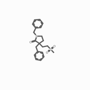 CS(=O)(=O)CCC1(Cc2ccccc2)CCN(Cc2ccccc2)C1=O